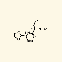 CCCCC(NC(=O)[C@H](CC(C)C)NC(C)=O)C1OCCO1